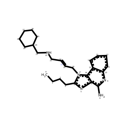 CCCCc1nc2c(N)nc3ccccc3c2n1C/C=C/CNCC1CCCCC1